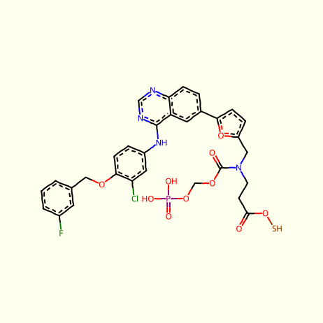 O=C(CCN(Cc1ccc(-c2ccc3ncnc(Nc4ccc(OCc5cccc(F)c5)c(Cl)c4)c3c2)o1)C(=O)OCOP(=O)(O)O)OS